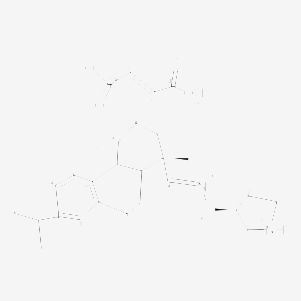 CC(C)c1ccc2c(c1)CCC1[C@@](C)(/C=N/O[C@H]3CCNC3)CCC[C@]21C.O=C(O)/C=C/C(=O)O